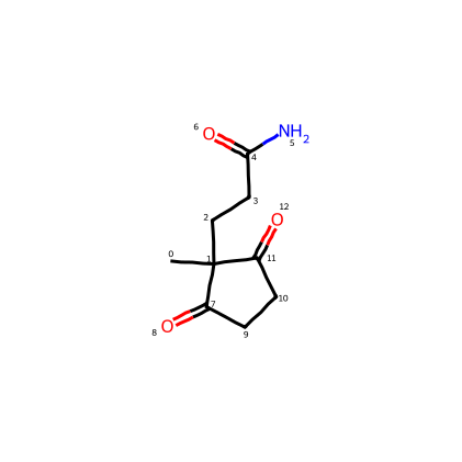 CC1(CCC(N)=O)C(=O)CCC1=O